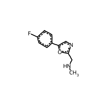 CNCc1ncc(-c2ccc(F)cc2)o1